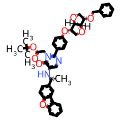 C[C@@H](Nc1cnc(-c2ccc(O[C@@H]3CO[C@H]4[C@@H]3OC[C@H]4OCc3ccccc3)cc2)n(CC(=O)OC(C)(C)C)c1=O)c1ccc2oc3ccccc3c2c1